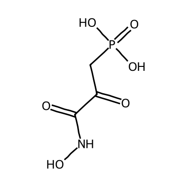 O=C(CP(=O)(O)O)C(=O)NO